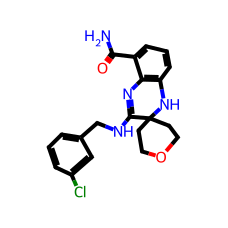 NC(=O)c1cccc2c1N=C(NCc1cccc(Cl)c1)C1(CCOCC1)N2